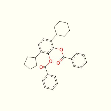 O=C(Oc1c(C2CCCCC2)ccc(C2CCCC2)c1OC(=O)c1ccccc1)c1ccccc1